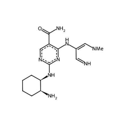 CN/C=C(\C=N)Nc1nc(N[C@@H]2CCCC[C@@H]2N)ncc1C(N)=O